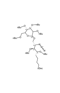 CCCCCCCCCCCCCC[C@@H](OCCCC)[C@@H](OCCCC)[C@H](CO[C@H]1OC(COCCCC)[C@H](OCCCC)[C@H](OCCCC)C1OCCCC)N=[N+]=[N-]